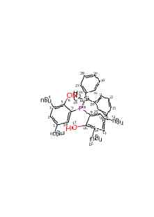 CCCCc1cc(CCCC)c(O)c(P(c2cc(CCCC)cc(CCCC)c2O)[Si](C)(c2ccccc2)c2ccccc2)c1